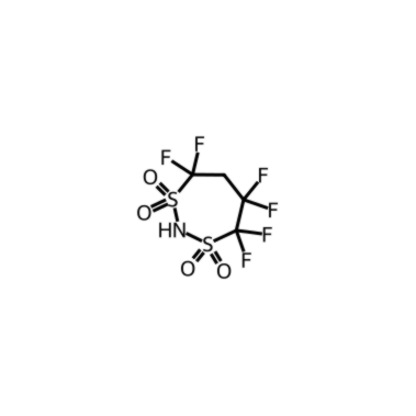 O=S1(=O)NS(=O)(=O)C(F)(F)C(F)(F)CC1(F)F